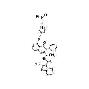 CCN(CC)CCn1cc(C#Cc2cccc3nc(C(C)NC(=O)c4c(C)nn5cccnc45)n(-c4ccccc4)c(=O)c23)cn1